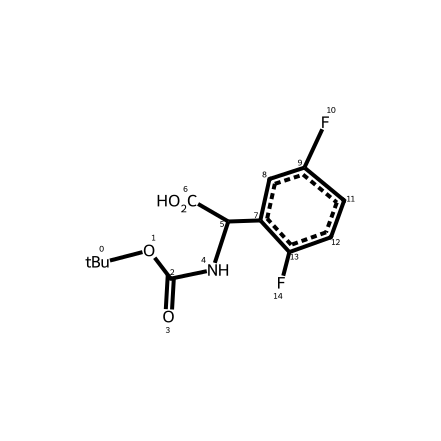 CC(C)(C)OC(=O)NC(C(=O)O)c1cc(F)ccc1F